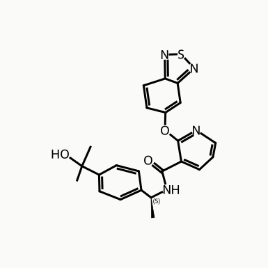 C[C@H](NC(=O)c1cccnc1Oc1ccc2nsnc2c1)c1ccc(C(C)(C)O)cc1